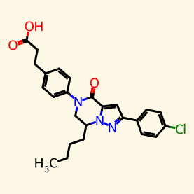 CCCCC1CN(c2ccc(CCC(=O)O)cc2)C(=O)c2cc(-c3ccc(Cl)cc3)nn21